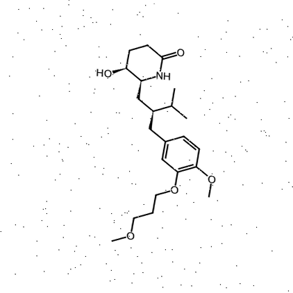 COCCCOc1cc(C[C@@H](C[C@@H]2NC(=O)CC[C@@H]2O)C(C)C)ccc1OC